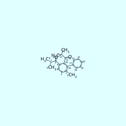 Cc1ccc(C(=O)C(C)C)c(C(=O)C(C)C)c1-c1ccccc1